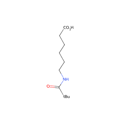 CC(C)(C)C(=O)NCCCCCC(=O)O